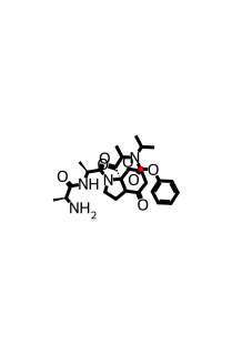 CC(C)N(C(=O)Oc1ccccc1)C(C)C(=O)[C@]12C(=O)CCC(=O)C1CCN2C(=O)[C@H](C)NC(=O)[C@H](C)N